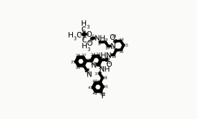 CC(C)(C)OC(=O)NCCCN1C(=O)CCCC1CNC(=O)c1ccc(-c2ccccc2C#N)nc1NCCc1cccc(F)c1